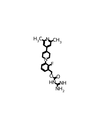 Cc1cc(C2=CCN(c3cccc(COC(=O)NC(=N)N)c3F)CC2)cc(C)n1